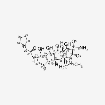 CN(C)[C@H]1C(=O)C(C(N)=O)=C(O)[C@@]2(O)C(=O)C3=C(O)c4c(O)c(NC(=O)CN5CCCC5)cc(F)c4C[C@H]3C[C@@H]12